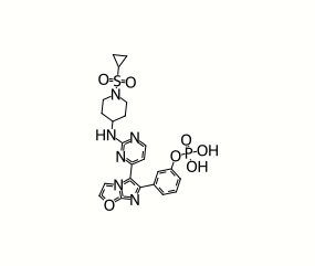 O=P(O)(O)Oc1cccc(-c2nc3occn3c2-c2ccnc(NC3CCN(S(=O)(=O)C4CC4)CC3)n2)c1